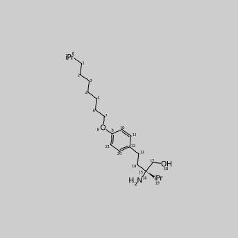 CC(C)CCCCCCCOc1ccc(CC[C@@](N)(CO)C(C)C)cc1